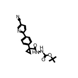 CC(C)(C)OC(=O)NNC(=O)C1(c2ccc(-c3ccc(C#N)cn3)cc2)CC1